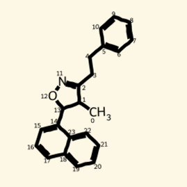 CC1C(CCc2ccccc2)=NOC1c1cccc2ccccc12